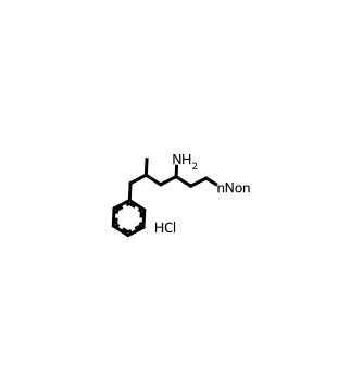 CCCCCCCCCCCC(N)CC(C)Cc1ccccc1.Cl